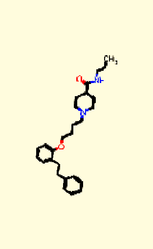 CCCNC(=O)C1CCN(CCCCOc2ccccc2CCc2ccccc2)CC1